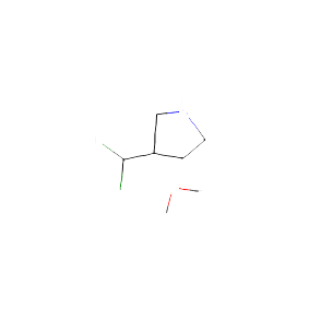 CC(C)(C)OC=O.FC(F)C1CCNC1